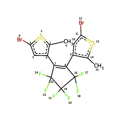 Cc1sc(Br)cc1C1=C(c2cc(Br)sc2C)C(F)(F)C(F)(F)C1(F)F